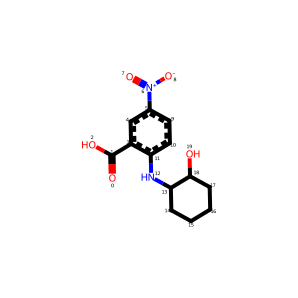 O=C(O)c1cc([N+](=O)[O-])ccc1NC1CCCCC1O